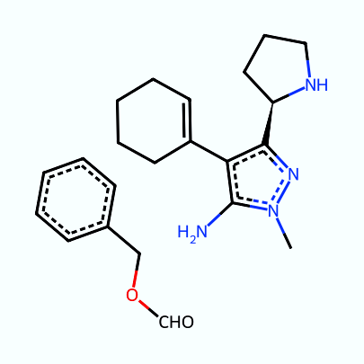 Cn1nc([C@H]2CCCN2)c(C2=CCCCC2)c1N.O=COCc1ccccc1